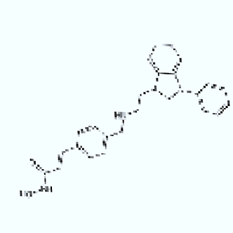 O=C(/C=C/c1ccc(CNCCC2CN(c3ccccc3)c3ccccc32)cc1)NO